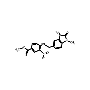 COC(=O)c1ccc(NCc2ccc3c(c2)n(C)c(=O)n3C)c([N+](=O)[O-])c1